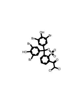 O=C(c1cccc2c1S(=O)(=O)OC2(c1cc(Br)c(O)c(Br)c1)c1cc(Br)c(O)c(Br)c1)C(Cl)Cl